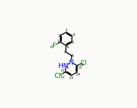 Fc1ccccc1CCN1NC(Cl)=CC=C1Cl